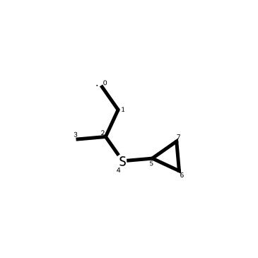 [CH2]CC(C)SC1CC1